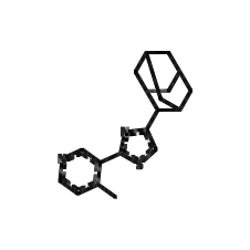 Cc1ccncc1-c1nc(C2C3CC4CC(C3)CC2C4)cs1